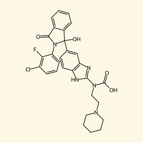 O=C(O)N(CCN1CCCCC1)c1nc2cc(C3(O)c4ccccc4C(=O)N3c3cccc(Cl)c3F)ccc2[nH]1